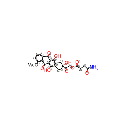 COc1cccc2c1C(=O)c1c(O)c3c(c(O)c1C2=O)C[C@@](O)(C(=O)COC(=O)CCC(N)=O)CC3